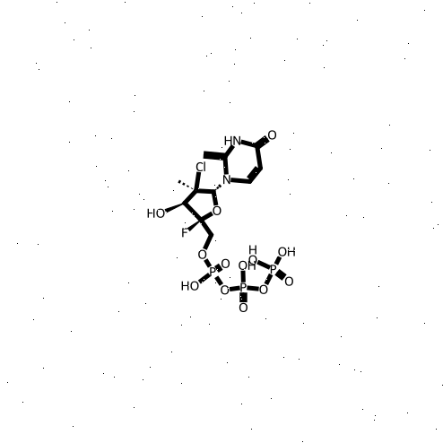 C=C1NC(=O)C=CN1[C@@H]1O[C@](F)(COP(=O)(O)OP(=O)(O)OP(=O)(O)O)[C@@H](O)[C@@]1(C)Cl